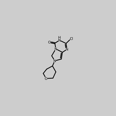 O=C1NC(Cl)=NC2=CN(C3CCOCC3)CN12